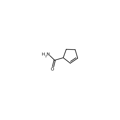 NC(=O)C1C=CCC1